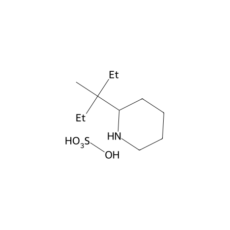 CCC(C)(CC)C1CCCCN1.O=S(=O)(O)O